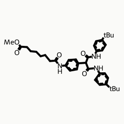 COC(=O)CCCCCCC(=O)Nc1ccc(C(C(=O)Nc2ccc(C(C)(C)C)cc2)C(=O)Nc2ccc(C(C)(C)C)cc2)cc1